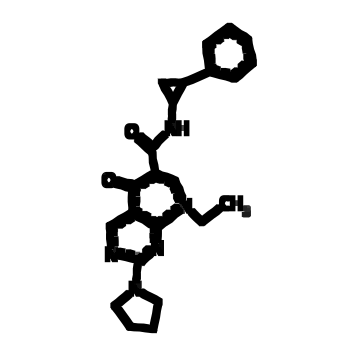 CCn1cc(C(=O)NC2CC2c2ccccc2)c(=O)c2cnc(N3CCCC3)nc21